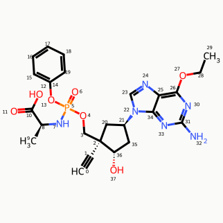 C#C[C@]1(COP(=O)(N[C@@H](C)C(=O)O)Oc2ccccc2)C[C@@H](n2cnc3c(OCC)nc(N)nc32)C[C@@H]1O